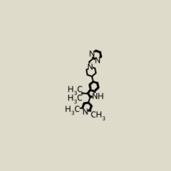 Cc1cc(-c2[nH]c3ccc(C4CCN(Cc5ncccn5)CC4)cc3c2C(C)C)cc(C)n1